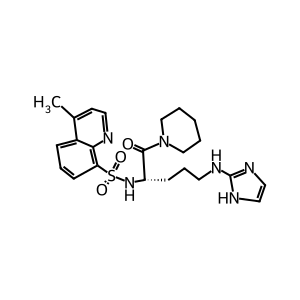 Cc1ccnc2c(S(=O)(=O)N[C@@H](CCCNc3ncc[nH]3)C(=O)N3CCCCC3)cccc12